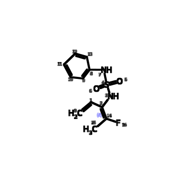 C=C/C(NS(=O)(=O)Nc1ccccc1)=C(\C)F